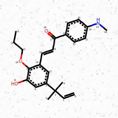 C=CC(C)(C)c1cc(O)c(OCCC)c(C=CC(=O)c2ccc(NC)cc2)c1